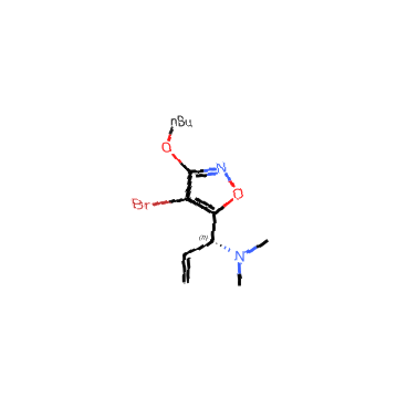 C=C[C@H](c1onc(OCCCC)c1Br)N(C)C